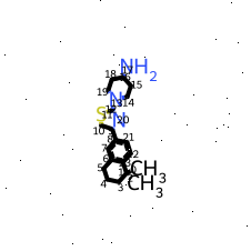 CC1(C)CCCc2cc(C3CSC(N4CCC(N)CC4)=N3)ccc21